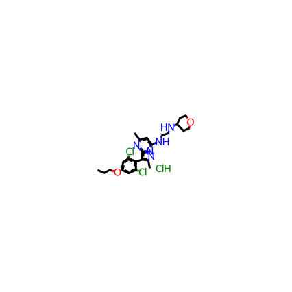 CCCOc1cc(Cl)c(-c2c(C)nn3c(NCCNC4CCOCC4)cc(C)nc23)c(Cl)c1.Cl